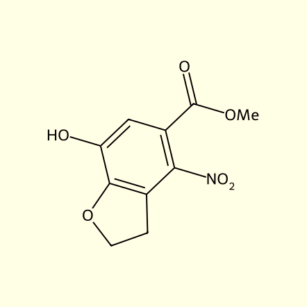 COC(=O)c1cc(O)c2c(c1[N+](=O)[O-])CCO2